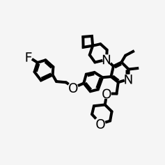 CCc1c(C)nc(COC2CCOCC2)c(-c2ccc(OCCc3ccc(F)cc3)cc2)c1N1CCC2(CCC2)CC1